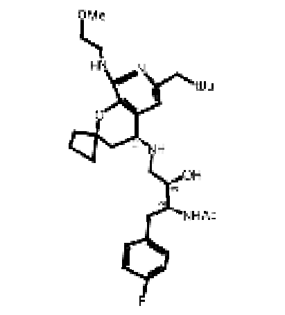 COCCNc1nc(CC(C)(C)C)cc2c1OC1(CCC1)C[C@@H]2NC[C@@H](O)[C@H](Cc1ccc(F)cc1)NC(C)=O